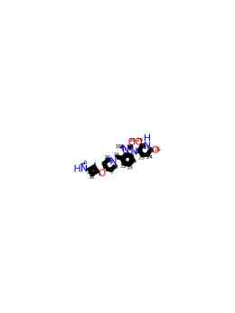 CN[C@H]1C[C@H](OC2CCN(Cc3cccc4c3n(C)c(=O)n4C3CCC(=O)NC3=O)CC2)C1